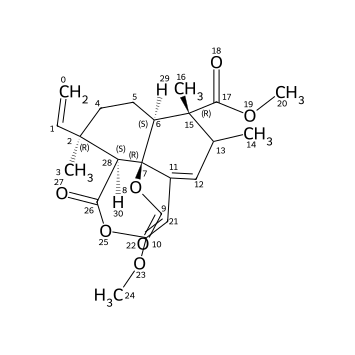 C=C[C@@]1(C)CC[C@@H]2[C@]3(OC=O)C(=CC(C)[C@@]2(C)C(=O)OC)C=C(OC)OC(=O)[C@H]31